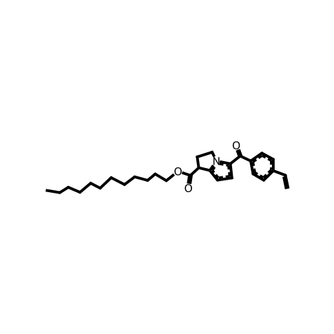 C=Cc1ccc(C(=O)c2ccc3n2CCC3C(=O)OCCCCCCCCCCCC)cc1